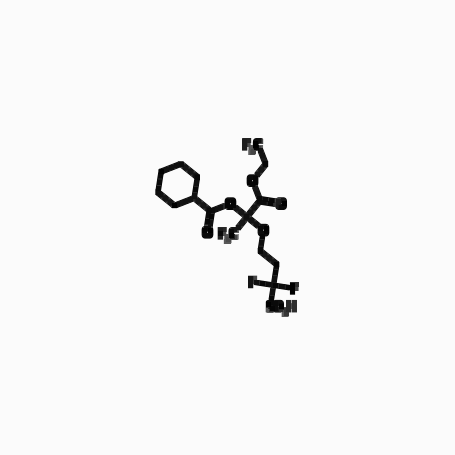 O=C(OC(OCCC(F)(F)S(=O)(=O)O)(C(=O)OCC(F)(F)F)C(F)(F)F)C1CCCCC1